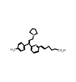 Cc1ccc(/C(=C/CN2CCCC2)c2cccc(/C=C/CCCC(=O)O)n2)cc1